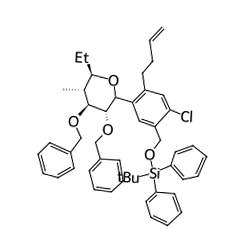 C=CCCc1cc(Cl)c(CO[Si](c2ccccc2)(c2ccccc2)C(C)(C)C)cc1C1O[C@H](CC)[C@@H](C)[C@H](OCc2ccccc2)[C@H]1OCc1ccccc1